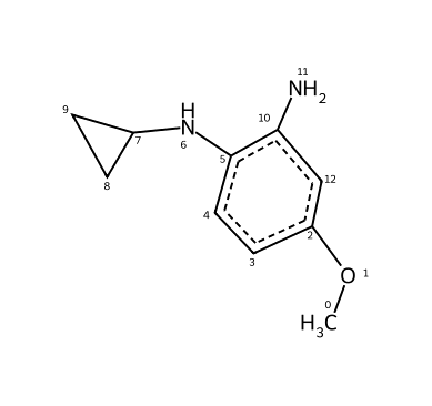 COc1ccc(NC2CC2)c(N)c1